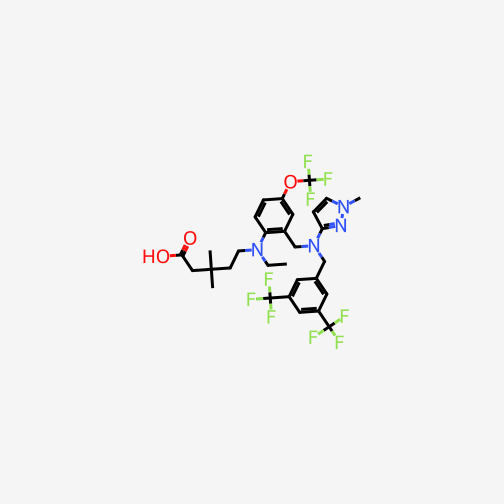 CCN(CCC(C)(C)CC(=O)O)c1ccc(OC(F)(F)F)cc1CN(Cc1cc(C(F)(F)F)cc(C(F)(F)F)c1)c1ccn(C)n1